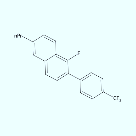 CCCc1ccc2c(F)c(-c3ccc(C(F)(F)F)cc3)ccc2c1